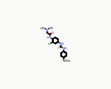 CCCN(CCC)CC(=O)Nc1ccc(NC(=S)Nc2ccc(NC(C)=O)cc2)cc1Cl